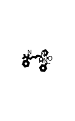 CC(C)C(C#N)(CCC=CC(=O)N1CCC[C@@H]1C(=O)N[C@H](C)c1ccccc1)c1ccccc1